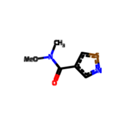 CON(C)C(=O)c1cnsc1